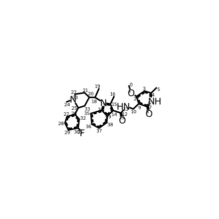 COc1cc(C)[nH]c(=O)c1CNC(=O)c1c(C)n(C(C)C2CCN(C)C(c3cccc(F)c3)C2)c2ccccc12